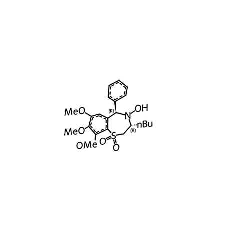 CCCC[C@@H]1CS(=O)(=O)c2c(cc(OC)c(OC)c2OC)[C@@H](c2ccccc2)N1O